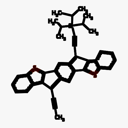 CC#CC1=c2cc3c(cc2-c2sc4ccccc4c21)=C(C#C[Si](C(C)C)(C(C)C)C(C)C)c1c-3sc2ccccc12